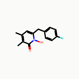 Cc1cc(Cc2ccc(F)cc2)n(O)c(=O)c1C